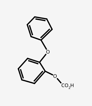 O=C(O)Oc1ccccc1Oc1ccccc1